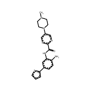 CN1CCN(c2cnc(C(=O)Nc3cc(-c4cccs4)ccc3N)nc2)CC1